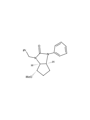 CO[C@H]1CC[C@H]2[C@@H]1N(CC(C)C)C(=O)N2c1ccccc1